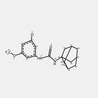 O=C(Nc1cc(Cl)cc(OC(F)(F)F)c1)NC12CC3CC(CC(C3)O1)C2